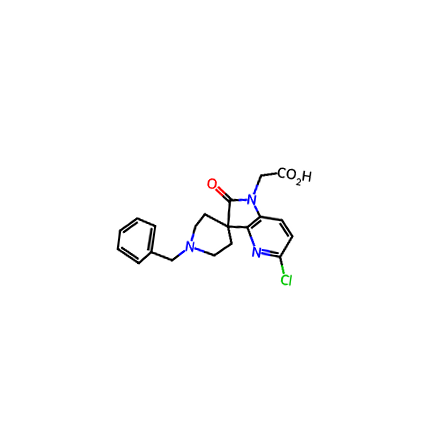 O=C(O)CN1C(=O)C2(CCN(Cc3ccccc3)CC2)c2nc(Cl)ccc21